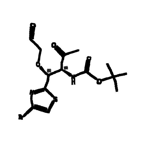 CC(=O)[C@@H](NC(=O)OC(C)(C)C)[C@H](OCC=O)c1nc(Br)cs1